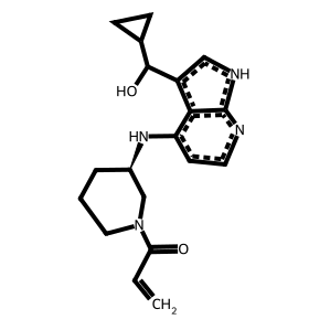 C=CC(=O)N1CCC[C@@H](Nc2ccnc3[nH]cc(C(O)C4CC4)c23)C1